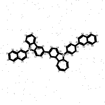 C1=CC=CC2C(C=1)C1CC(c3ccc4c(c3)c3ccccc3n4-c3ccc4ccccc4c3)=CC=C1N2C1=CCC(c2ccc3ccccc3c2)C=C1